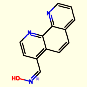 O/N=C\c1ccnc2c1ccc1cccnc12